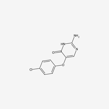 Nc1ncc(Oc2ccc(Cl)cc2)c(=O)[nH]1